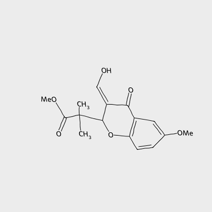 COC(=O)C(C)(C)C1Oc2ccc(OC)cc2C(=O)/C1=C\O